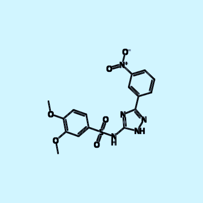 COc1ccc(S(=O)(=O)Nc2nc(-c3cccc([N+](=O)[O-])c3)n[nH]2)cc1OC